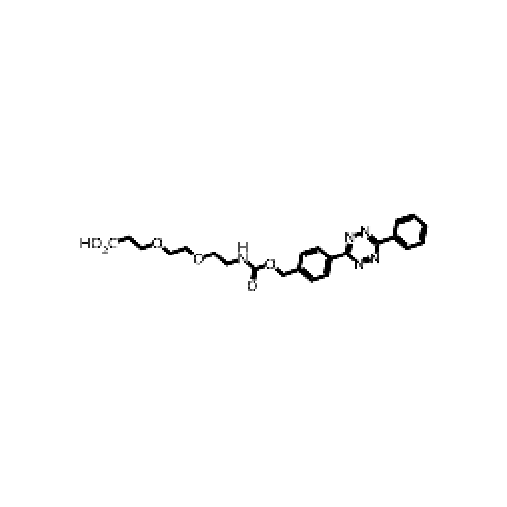 O=C(O)CCOCCOCCNC(=O)OCc1ccc(-c2nnc(-c3ccccc3)nn2)cc1